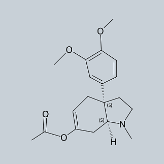 COc1ccc([C@@]23CC=C(OC(C)=O)C[C@@H]2N(C)CC3)cc1OC